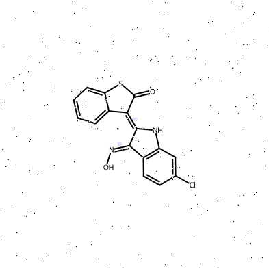 O=C1Sc2ccccc2/C1=C1/Nc2cc(Cl)ccc2/C1=N\O